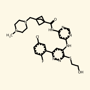 CN1CCN(CC23CC(C(=O)Nc4cc(Nc5cc(-c6cc(Cl)ccc6F)nnc5SCCO)ncn4)(C2)C3)CC1